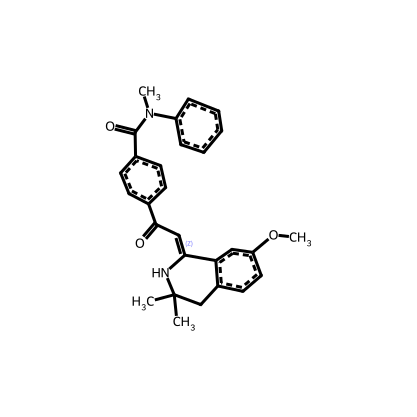 COc1ccc2c(c1)/C(=C/C(=O)c1ccc(C(=O)N(C)c3ccccc3)cc1)NC(C)(C)C2